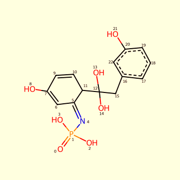 O=P(O)(O)N=C1C=C(O)C=CC1C(O)(O)Cc1cccc(O)c1